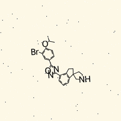 CC(C)Oc1ccc(-c2nc(-c3cccc4c3CCC43CCNC3)no2)cc1Br